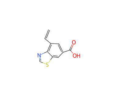 C=Cc1cc(C(=O)O)cc2scnc12